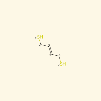 SCC=CCS